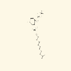 CC(C)CCCCCCCCCOC(=O)OC1CCCCC1OC(=O)OC(C)(C)C